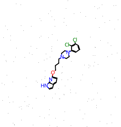 Clc1cccc(N2CCN(CCCCOc3ccc4cc[nH]c4n3)CC2)c1Cl